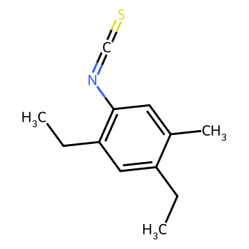 CCc1cc(CC)c(N=C=S)cc1C